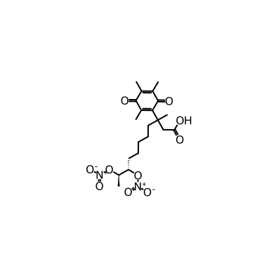 CC1=C(C)C(=O)C(C(C)(CCCCC[C@H](O[N+](=O)[O-])[C@@H](C)O[N+](=O)[O-])CC(=O)O)=C(C)C1=O